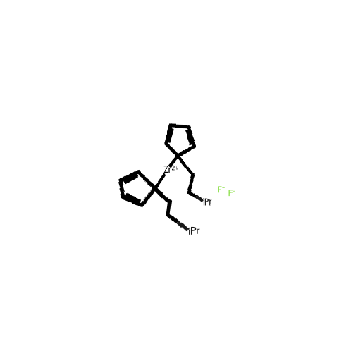 CC(C)CC[C]1([Zr+2][C]2(CCC(C)C)C=CC=C2)C=CC=C1.[F-].[F-]